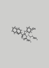 NCCC[C@H](C(N)=O)N(Cc1ccc(O)cc1)C(=O)c1ccc2ccccc2n1